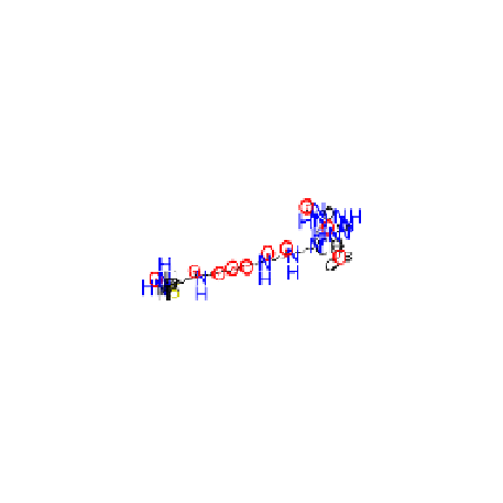 CN(C/C=C/C(=O)Nc1cc(Nc2cc(Nc3ccc(Oc4ccccc4)cc3)ncn2)ccc1N1CCOCC1)CCCCNC(=O)CCCC(=O)NCCCOCCOCCOCCCNC(=O)CCCC[C@@H]1SC[C@@H]2NC(=O)N[C@@H]21